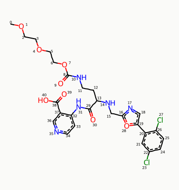 COCCOCCOC(=O)NCCC(NCc1ncc(-c2cc(Cl)ccc2Cl)o1)C(=O)Nc1ccncc1C(=O)O